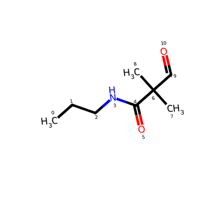 CCCNC(=O)C(C)(C)[C]=O